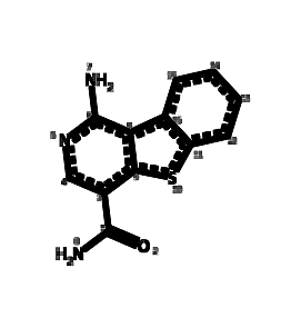 NC(=O)c1cnc(N)c2c1sc1ccccc12